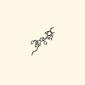 CCCCC[C@H](CN(O)C=O)C(=O)NNc1ncc(CC)c(C)n1